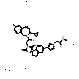 CNC(=O)Cn1cc(-c2ccc3c(c2)CCC32OC(=O)N(CC(=O)N3Cc4ccc(F)cc4CCC3C3CC3)C2=O)cn1